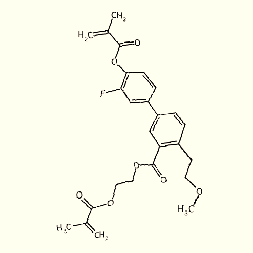 C=C(C)C(=O)OCCOC(=O)c1cc(-c2ccc(OC(=O)C(=C)C)c(F)c2)ccc1CCOC